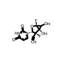 C#C[C@]1(F)[C@H](n2ccc(=O)[nH]c2=O)O[C@]2(F)C(O)[C@@]21O